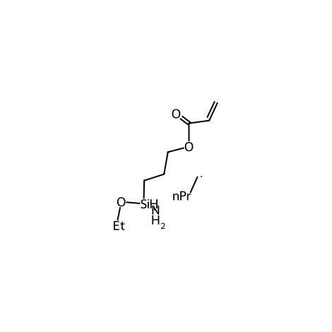 C=CC(=O)OCCC[SiH](N)OCC.[CH2]CCC